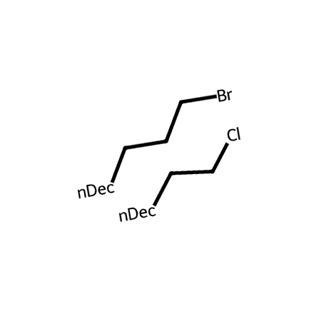 CCCCCCCCCCCCCBr.CCCCCCCCCCCCCl